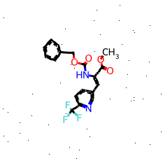 COC(=O)/C(=C/c1ccc(C(F)(F)F)nc1)NC(=O)OCc1ccccc1